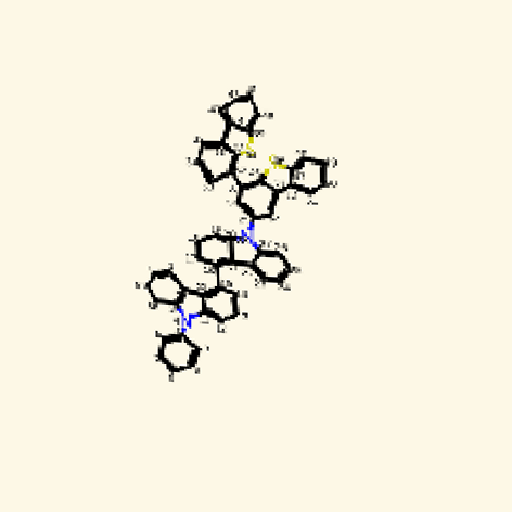 C1=Cc2c(n(-c3ccccc3)c3cccc(-c4cccc5c4c4ccccc4n5-c4cc(-c5cccc6c5sc5ccccc56)c5sc6ccccc6c5c4)c23)CC1